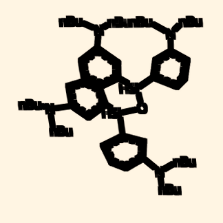 CCCCN(CCCC)c1cccc([SiH](O[SiH](c2cccc(N(CCCC)CCCC)c2)c2cccc(N(CCCC)CCCC)c2)c2cccc(N(CCCC)CCCC)c2)c1